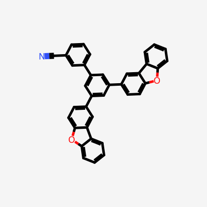 N#Cc1cccc(-c2cc(-c3ccc4oc5ccccc5c4c3)cc(-c3ccc4oc5ccccc5c4c3)c2)c1